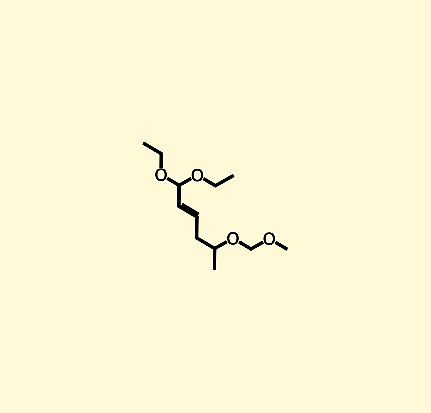 CCOC(C=CCC(C)OCOC)OCC